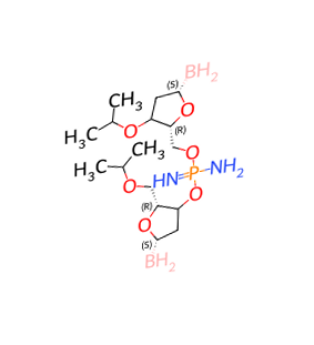 B[C@H]1CC(OC(C)C)[C@@H](COP(=N)(N)OC2C[C@H](B)O[C@@H]2COC(C)C)O1